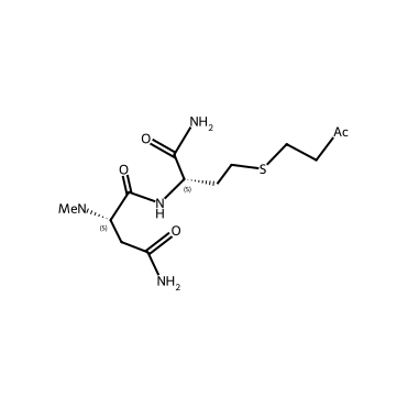 CN[C@@H](CC(N)=O)C(=O)N[C@@H](CCSCCC(C)=O)C(N)=O